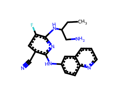 CCC(CN)Nc1nc(Nc2ccc3ncccc3c2)c(C#N)cc1F